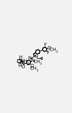 COc1c(F)cc(-c2ccc3cc(-c4nc5cc(C(=O)N6C[C@H]7CC[C@@H]6[C@@H]7N)cc(OC)c5n4C)n(CC4CC4)c3c2)cc1F